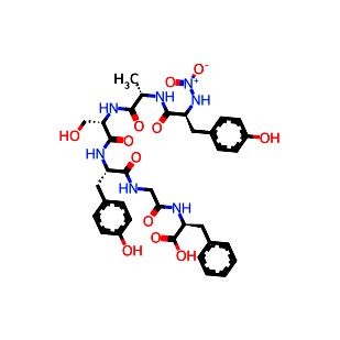 C[C@H](NC(=O)[C@H](Cc1ccc(O)cc1)N[N+](=O)[O-])C(=O)N[C@@H](CO)C(=O)N[C@@H](Cc1ccc(O)cc1)C(=O)NCC(=O)N[C@@H](Cc1ccccc1)C(=O)O